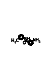 Cc1cccc(NC(=O)c2cccc(N)c2)c1